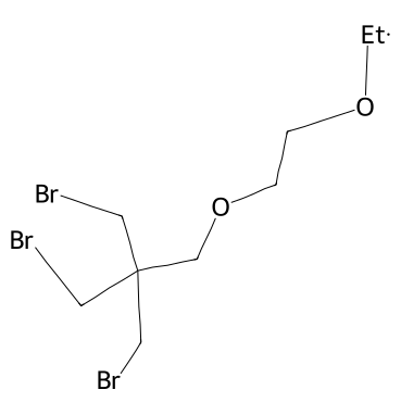 C[CH]OCCOCC(CBr)(CBr)CBr